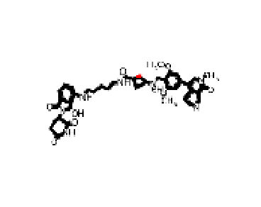 COc1cc(-c2cn(C)c(=O)c3cnccc23)cc(OC)c1CN(C)C12CC(C(=O)NCCCCCNc3cccc4c3C(O)N(C3CCC(=O)NC3=O)C4=O)(C1)C2